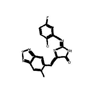 Cc1cc2nsnc2cc1/C=C1\S/C(=N\c2cc(F)ccc2Cl)NC1=O